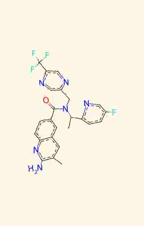 Cc1cc2cc(C(=O)N(Cc3cnc(C(F)(F)F)cn3)C(C)c3ccc(F)cn3)ccc2nc1N